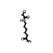 CC(C)C(=O)CCCCCNC(=O)CCl